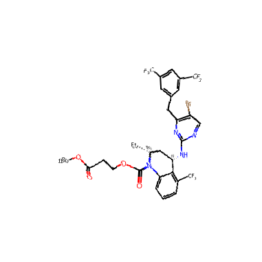 CC[C@@H]1C[C@H](Nc2ncc(Br)c(Cc3cc(C(F)(F)F)cc(C(F)(F)F)c3)n2)c2c(cccc2C(F)(F)F)N1C(=O)OCCC(=O)OC(C)(C)C